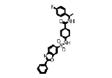 C[C@@H](NC(=O)C1CCC(NS(=O)(=O)c2ccc3nc(-c4ccccc4)oc3c2)CC1)c1ccc(F)cc1